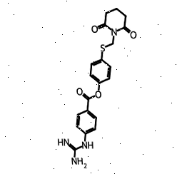 N=C(N)Nc1ccc(C(=O)Oc2ccc(SCN3C(=O)CCCC3=O)cc2)cc1